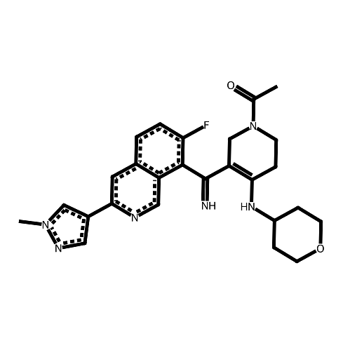 CC(=O)N1CCC(NC2CCOCC2)=C(C(=N)c2c(F)ccc3cc(-c4cnn(C)c4)ncc23)C1